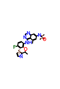 Cc1cc(N=S(C)(C)=O)cc2ncnc(Nc3ccc(F)cc3OC(C)c3nccs3)c12